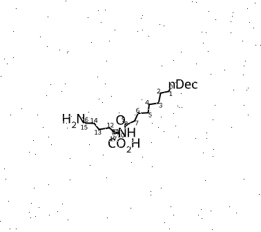 CCCCCCCCCCCCCCCCCC(=O)N[C@@H](CCCCN)C(=O)O